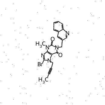 CC#CCn1c(Br)nc2c1c(=O)n(Cc1cnc3ccccc3c1)c(=O)n2C